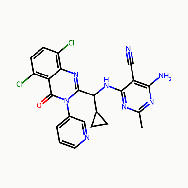 Cc1nc(N)c(C#N)c(NC(c2nc3c(Cl)ccc(Cl)c3c(=O)n2-c2cccnc2)C2CC2)n1